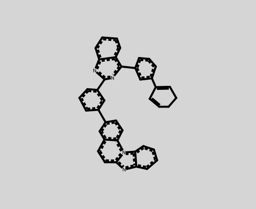 C1=CC(c2cccc(-c3nc(-c4cccc(-c5ccc6c(ccc7nc8ccccc8n76)c5)c4)nc4ccccc34)c2)=CCC1